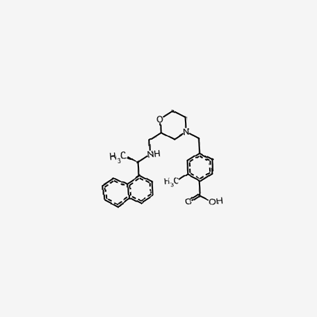 Cc1cc(CN2CCOC(CN[C@H](C)c3cccc4ccccc34)C2)ccc1C(=O)O